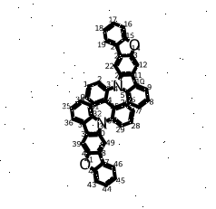 c1ccc(-n2c3ccccc3c3cc4oc5ccccc5c4cc32)c(-c2ccccc2-n2c3ccccc3c3cc4oc5ccccc5c4cc32)c1